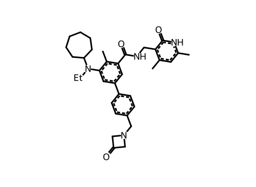 CCN(c1cc(-c2ccc(CN3CC(=O)C3)cc2)cc(C(=O)NCc2c(C)cc(C)[nH]c2=O)c1C)C1CCCCCC1